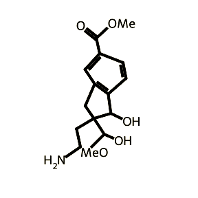 COC(=O)c1ccc2c(c1)CC(CCN)(C(O)OC)C2O